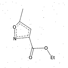 [CH2]COC(=O)c1cc(C)on1